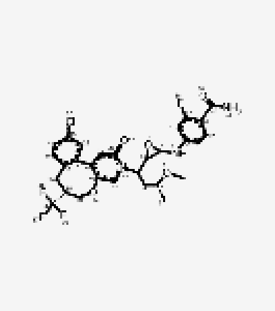 CO[C@@H](C)CC(C1OC1Nc1ccc(C(N)=O)c(F)c1)n1cc2c(cc1=O)-c1cc(Cl)ccc1C[C@@H](C(F)(F)F)CO2